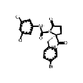 O=C1CC[C@@](Cc2ccc(Br)cc2)(C(=O)O)N1C(=O)Nc1cc(Cl)cc(Cl)c1